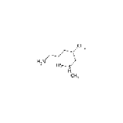 CC(CCCN)C[SH](C)S